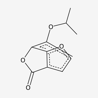 CC(C)Oc1c2c3oc1cc3C(=O)O2